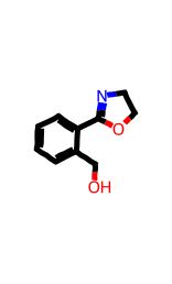 OCc1ccccc1C1=NCCO1